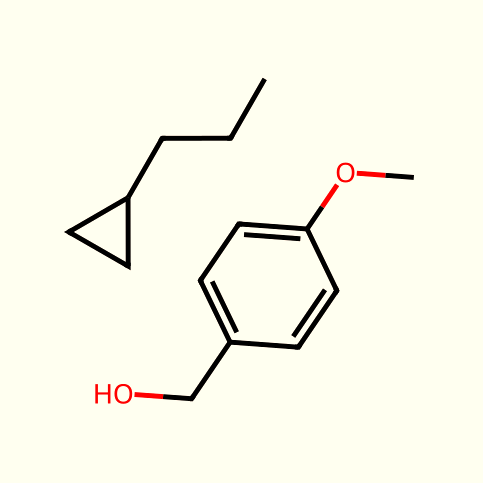 CCCC1CC1.COc1ccc(CO)cc1